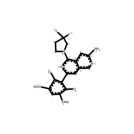 COc1cc(OC)c(Cl)c(-c2cc3cnc(N)cc3c(N3CCC(F)(F)C3)n2)c1Cl